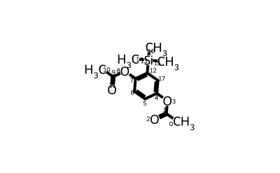 CC(=O)Oc1ccc(OC(C)=O)c([Si](C)(C)C)c1